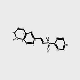 O=S(=O)(C=Cc1ccc2c(c1)C=CCO2)c1ccccc1